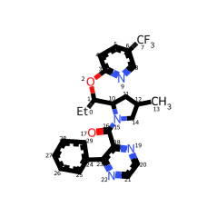 CCC(Oc1ccc(C(F)(F)F)cn1)C1CC(C)CN1C(=O)c1nccnc1-c1ccccc1